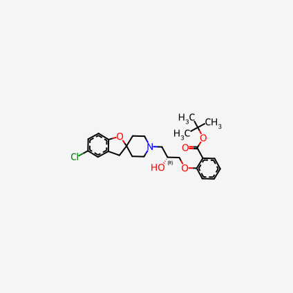 CC(C)(C)OC(=O)c1ccccc1OC[C@H](O)CN1CCC2(CC1)Cc1cc(Cl)ccc1O2